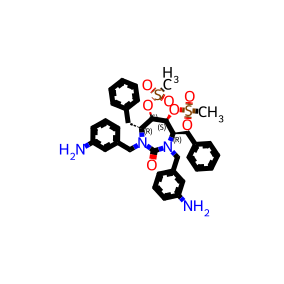 CS(=O)(=O)O[C@@H]1[C@@H](OS(C)(=O)=O)[C@@H](Cc2ccccc2)N(Cc2cccc(N)c2)C(=O)N(Cc2cccc(N)c2)[C@@H]1Cc1ccccc1